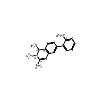 COc1ccccc1-c1ccc2c(c1)N=C(N)N(C)C2N